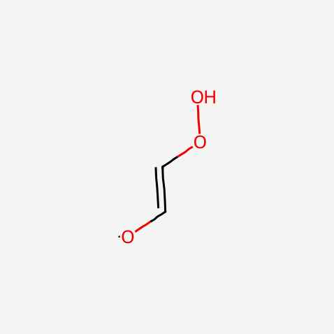 [O]C=COO